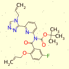 C=CCOc1ccc(F)cc1C(=O)N(C(=O)OC(C)(C)C)c1cccc(-c2nncn2CC=C)n1